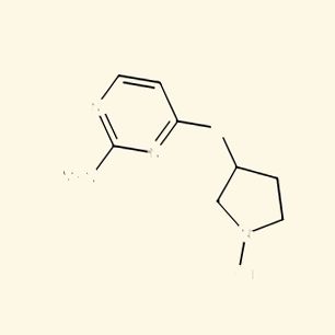 CNc1nccc(OC2CCN(C)C2)n1